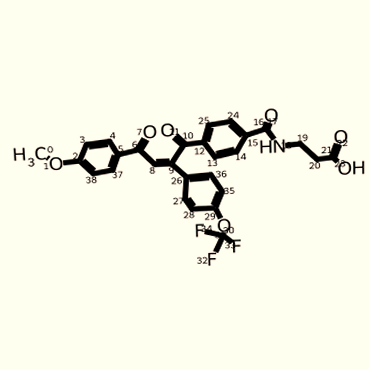 COc1ccc(C(=O)C=C(C(=O)c2ccc(C(=O)NCCC(=O)O)cc2)c2ccc(OC(F)(F)F)cc2)cc1